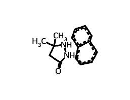 CC1(C)CC(=O)NN1.c1ccc2ccccc2c1